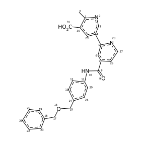 Cc1ncc(-c2cc(C(=O)Nc3ccc(COCc4ccccc4)cc3)ccn2)cc1C(=O)O